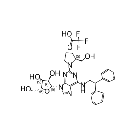 O=C(O)C(F)(F)F.OC[C@@H]1CCCN1c1nc(NCC(c2ccccc2)c2ccccc2)c2ncn([C@@H]3O[C@H](CO)[C@@H](O)[C@H]3O)c2n1